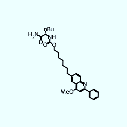 CCCC[C@H](NC(=O)OCCCCCCCc1ccc2nc(-c3ccccc3)cc(OC)c2c1)C(N)=O